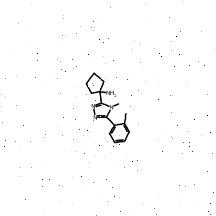 Cc1ccccc1-c1nnc(C2(N)CCCC2)n1C